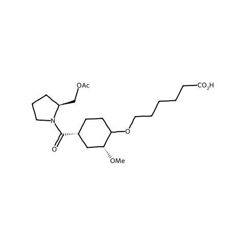 CO[C@@H]1C[C@H](C(=O)N2CCC[C@H]2COC(C)=O)CCC1OCCCCCC(=O)O